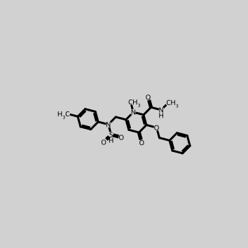 CNC(=O)c1c(OCc2ccccc2)c(=O)cc(CN(c2ccc(C)cc2)[SH](=O)=O)n1C